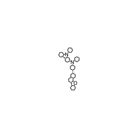 c1ccc(N(c2ccc(-c3ccc4c(ccc5c6ccccc6oc45)c3)cc2)c2ccc3c4ccccc4n(-c4ccccc4)c3c2)cc1